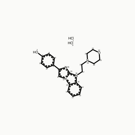 Cl.Cl.Oc1ccc(-c2cn3c4ccccc4n(CCN4CCOCC4)c3n2)cc1